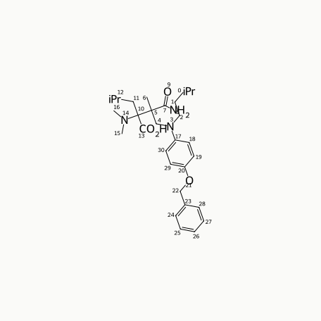 CC(C)CCN(CC(C)(C(N)=O)C(CC(C)C)(C(=O)O)N(C)C)c1ccc(OCc2ccccc2)cc1